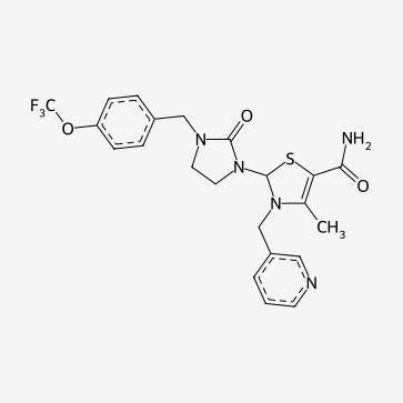 CC1=C(C(N)=O)SC(N2CCN(Cc3ccc(OC(F)(F)F)cc3)C2=O)N1Cc1cccnc1